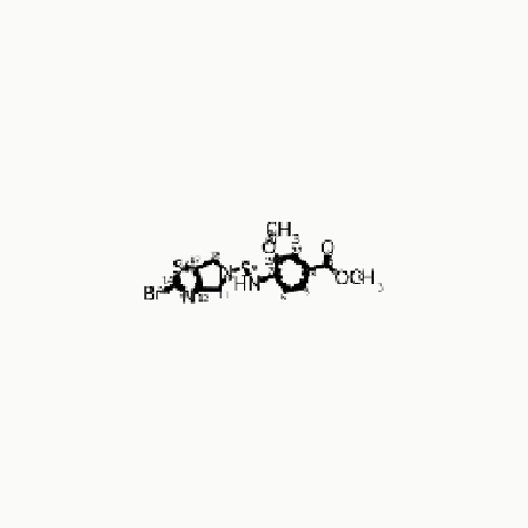 COC(=O)c1ccc(NSN2Cc3nc(Br)sc3C2)c(OC)c1